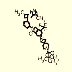 Cn1cnnc1C[C@]1(c2cccc(N3Cc4c(cc(N5CC6(CCN(C(=O)OC(C)(C)C)CC6)C5)cc4C(F)(F)F)C3=O)c2)C[C@H](C)C1